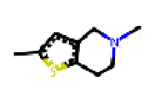 Cc1cc2c(s1)CCN(C)C2